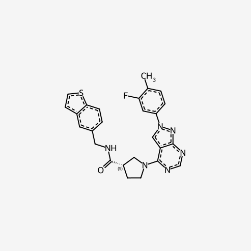 Cc1ccc(-n2cc3c(N4CC[C@H](C(=O)NCc5ccc6sccc6c5)C4)ncnc3n2)cc1F